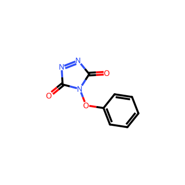 O=C1N=NC(=O)N1Oc1ccccc1